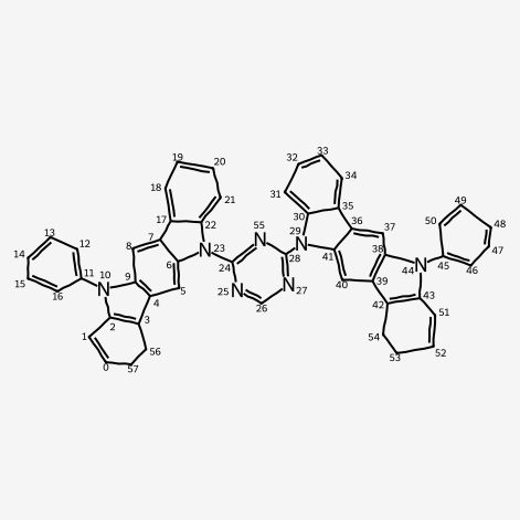 C1=Cc2c(c3cc4c(cc3n2-c2ccccc2)c2ccccc2n4-c2ncnc(-n3c4ccccc4c4cc5c(cc43)c3c(n5-c4ccccc4)C=CCC3)n2)CC1